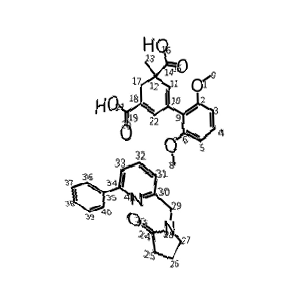 COc1cccc(OC)c1C1=CC(C)(C(=O)O)CC(C(=O)O)=C1.O=C1CCCN1Cc1cccc(-c2ccccc2)n1